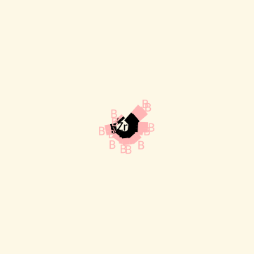 [B]#[Zr](#[B])(#[B])(#[B])(#[B])(#[B])(#[B])(#[B])(#[B])(#[B])(#[B])#[B]